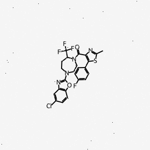 Cc1nc(C(=O)N2CCN(c3nc4cc(Cl)ccc4o3)CCC2C(F)(F)F)c(-c2ccc(F)cc2)s1